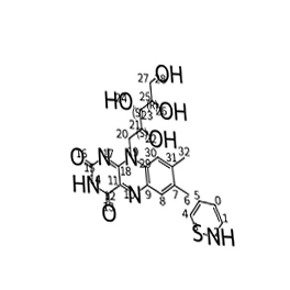 C1=CNSC=C1.Cc1cc2nc3c(=O)[nH]c(=O)nc-3n(C[C@H](O)[C@H](O)[C@H](O)CO)c2cc1C